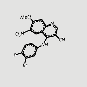 COc1cc2ncc(C#N)c(Nc3ccc(F)c(Br)c3)c2cc1[N+](=O)[O-]